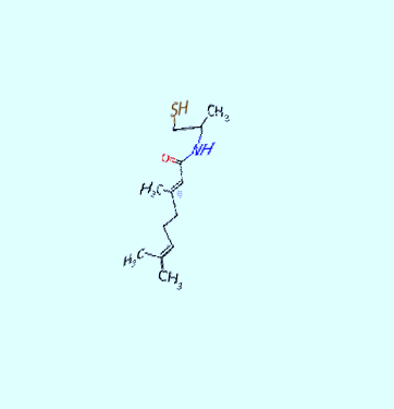 CC(C)=CCC/C(C)=C/C(=O)NC(C)CS